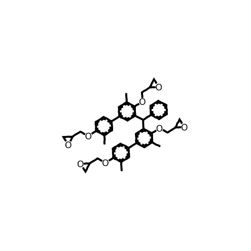 Cc1cc(-c2cc(C)c(OCC3CO3)c(C(c3ccccc3)c3cc(-c4ccc(OCC5CO5)c(C)c4)cc(C)c3OCC3CO3)c2)ccc1OCC1CO1